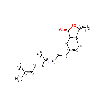 C=C1OC(=O)C2CC(CC/C=C(\C)CCC=C(C)C)=CCC12